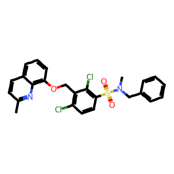 Cc1ccc2cccc(OCc3c(Cl)ccc(S(=O)(=O)N(C)Cc4ccccc4)c3Cl)c2n1